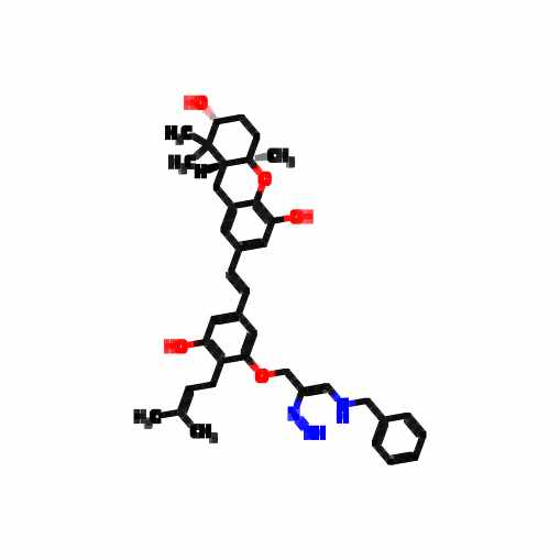 CC(C)=CCc1c(O)cc(/C=C/c2cc(O)c3c(c2)C[C@@H]2C(C)(C)[C@H](O)CC[C@@]2(C)O3)cc1OC/C(=C/NCc1ccccc1)N=N